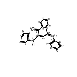 O=C1C(Nc2ccccc2)=CC(=Nc2ccccc2)c2ccccc21